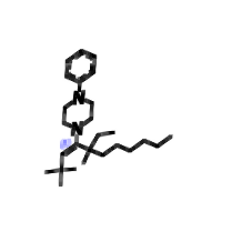 CCCCCCC(C)(CC)/C(=C\C(C)(C)C)N1CCN(c2ccccc2)CC1